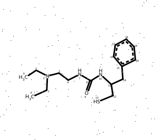 CCN(CC)CCNC(=O)NC(CS)Cc1ccccc1